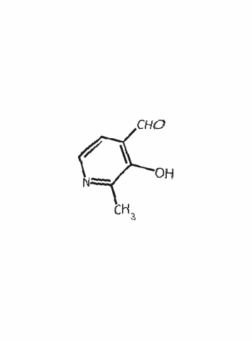 Cc1nccc(C=O)c1O